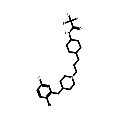 O=C(NC1CCC(CCCN2CCC(Cc3cc(F)ccc3Br)CC2)CC1)C(F)(F)F